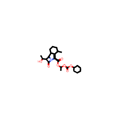 CC(OC(=O)OC1CCCCC1)OC(=O)C1=C2C(C)CCCC2C2C(C(C)O)C(=O)N12